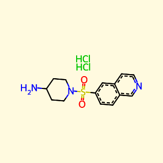 Cl.Cl.NC1CCN(S(=O)(=O)c2ccc3cnccc3c2)CC1